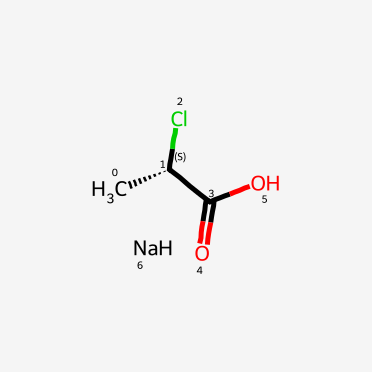 C[C@H](Cl)C(=O)O.[NaH]